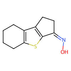 O/N=C1/CCc2c1sc1c2CCCC1